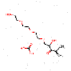 C=C(C)C(=O)C(O)COCCOCCOCCO.O=C(O)O